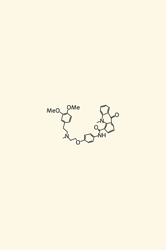 COc1ccc(CCN(C)CCOc2ccc(NC(=O)c3cccc4c(=O)c5ccccc5n(C)c34)cc2)cc1OC